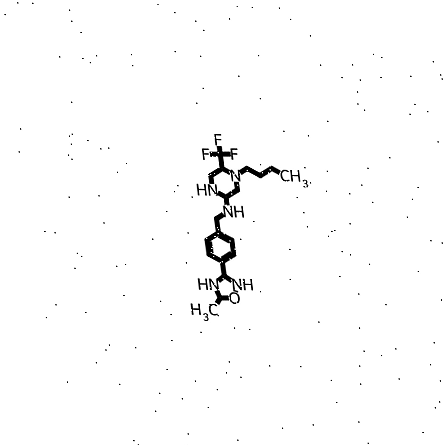 CCCCN1CC(NCc2ccc(C3NOC(C)N3)cc2)NCC1C(F)(F)F